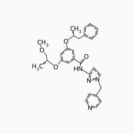 COC[C@H](C)Oc1cc(O[C@@H](C)Cc2ccccc2)cc(C(=O)Nc2ccn(Cc3ccncc3)n2)c1